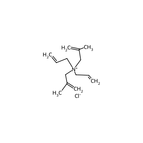 C=CC[N+](CC=C)(CC(=C)C)CC(=C)C.[Cl-]